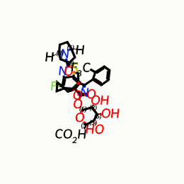 O=C(O[C@@H]1O[C@H](C(=O)O)[C@@H](O)[C@H](O)[C@H]1O)c1cc(F)c2nc(N3[C@@H]4CC[C@H]3C[C@@H](OCc3c(-c5ccccc5C(F)(F)F)noc3C3CC3)C4)sc2c1